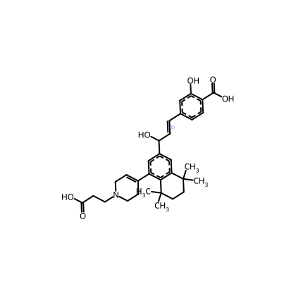 CC1(C)CCC(C)(C)c2c(C3=CCN(CCC(=O)O)CC3)cc(C(O)/C=C/c3ccc(C(=O)O)c(O)c3)cc21